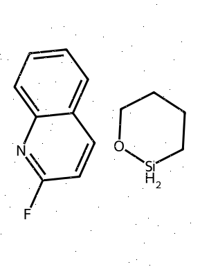 C1CC[SiH2]OC1.Fc1ccc2ccccc2n1